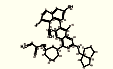 C#Cc1c(F)ccc2cc(O)cc(-c3c(C#N)cc4c(N5CCOCC(NC(=O)C=C)C5)nc(OCC56CCCN5CCC6)nc4c3F)c12